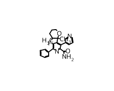 CC1CCCOC1(C)c1c(F)c(-c2ccccc2)nc(C(N)=O)c1-c1cccnc1